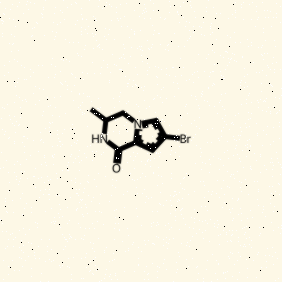 CC1Cn2cc(Br)cc2C(=O)N1